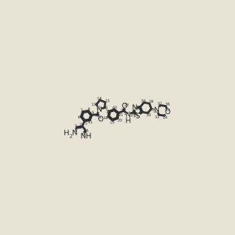 N=C/C(=C\N)c1cccc(C(=O)N2CCC[C@@H]2c2cccc(C(=O)Nc3nc4c(s3)C[C@@H](N3CCOCC3)CC4)c2)c1